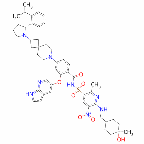 Cc1nc(NCC2CCC(C)(O)CC2)c([N+](=O)[O-])cc1S(=O)(=O)NC(=O)c1ccc(N2CCC3(CC2)CC(N2CCC[C@@H]2c2ccccc2C(C)C)C3)cc1Oc1cnc2[nH]ccc2c1